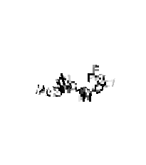 COc1ccnc(OCc2cn(-c3ccc(Cl)c(OC(F)F)c3)nn2)n1